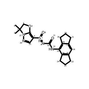 CC1(C)COc2c([SH](=O)=NC(=O)Nc3c4c(cc5c3CCC5)CCC4)cnn21